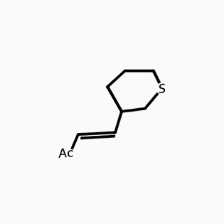 CC(=O)C=CC1CCCSC1